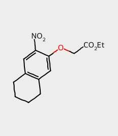 CCOC(=O)COc1cc2c(cc1[N+](=O)[O-])CCCC2